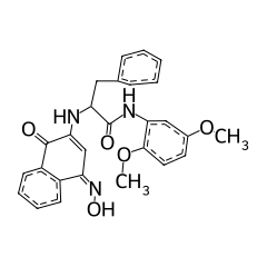 COc1ccc(OC)c(NC(=O)C(Cc2ccccc2)NC2=CC(=NO)c3ccccc3C2=O)c1